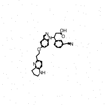 N#Cc1cccc(C(CC(=O)O)n2ncc3cc(OCCc4ccc5c(n4)CCCN5)ccc32)c1